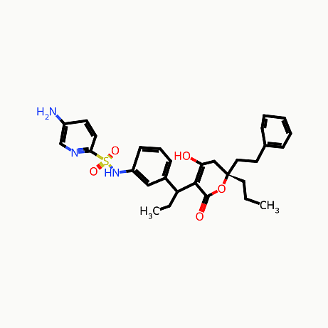 CCC[C@]1(CCc2ccccc2)CC(O)=C(C(CC)c2cccc(NS(=O)(=O)c3ccc(N)cn3)c2)C(=O)O1